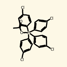 CC(=O)OP(c1ccc(Cl)cc1)(c1ccc(Cl)cc1)(c1ccc(Cl)cc1)c1ccc(Cl)cc1